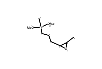 CO[Si](C)(CCCC1OC1C)OC